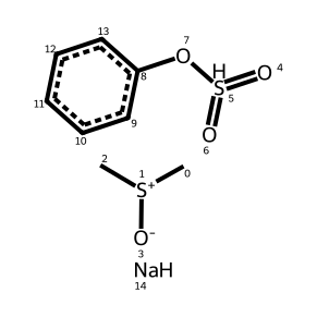 C[S+](C)[O-].O=[SH](=O)Oc1ccccc1.[NaH]